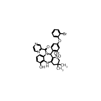 CC1(C)CC2=C(C(c3ccc(Oc4ccccc4Br)cc3F)N(C(=O)c3cnccn3)c3cccc(O)c3N2)S(=O)(=O)C1